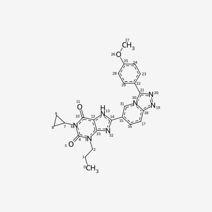 CCCn1c(=O)n(C2CC2)c(=O)c2[nH]c(-c3ccc4nnc(-c5ccc(OC)cc5)n4c3)nc21